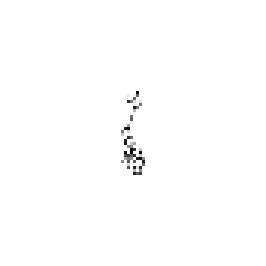 C=CC(=O)OCCCCCCOc1ccc(C(=O)OC2C(C)=Cc3cccc4cccc2c34)cc1